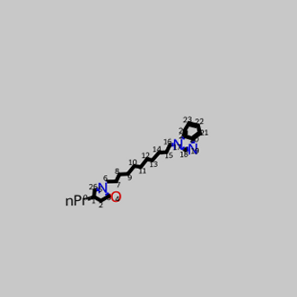 CCCC1CC(=O)N(CCCCCCCCCCCn2cnc3ccccc32)C1